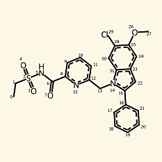 CCS(=O)(=O)NC(=O)c1cccc(Cn2c(-c3ccccc3)cc3cc(OC)c(Cl)cc32)n1